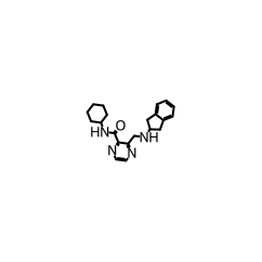 O=C(NC1CCCCC1)c1nccnc1CNC1Cc2ccccc2C1